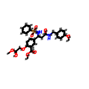 COC(=O)COc1ccc(C(CC(=O)NCc2ccc(OC)cc2)NS(=O)(=O)c2ccccc2)cc1C(=O)OC